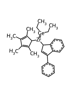 C[CH2][Ge]([CH2]C)=[Zr]([CH]1C(C)=C(C)C(C)=C1C)[CH]1C=C(c2ccccc2)c2ccccc21